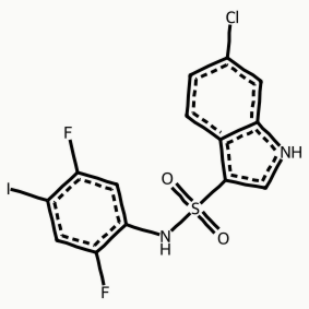 O=S(=O)(Nc1cc(F)c(I)cc1F)c1c[nH]c2cc(Cl)ccc12